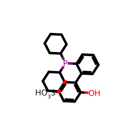 O=S(=O)(O)c1ccc(O)c(-c2ccccc2P(C2CCCCC2)C2CCCCC2)c1